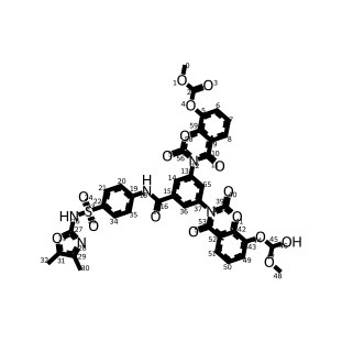 COC(=O)Oc1cccc2c(=O)n(-c3cc(C(=O)Nc4ccc(S(=O)(=O)Nc5nc(C)c(C)o5)cc4)cc(-n4c(=O)oc5c(OC(O)OC)cccc5c4=O)c3)c(=O)oc12